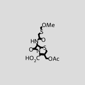 COCSCC(=O)NC1C(=O)N2C(C(=O)O)=C(COC(C)=O)CSC12